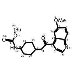 COc1ccc2nccc(C(=O)CC3CCC(NC(=O)OC(C)(C)C)CC3)c2c1